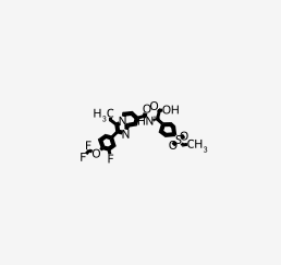 CCc1c(-c2ccc(OC(F)F)c(F)c2)nc2cc(C(=O)N[C@@H](C(=O)O)c3ccc(S(=O)(=O)CC)cc3)ccn12